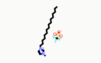 CCCCCCCCCCCCCCCC[n+]1ccn(C)c1.O=S(=O)([O-])C(F)(F)F